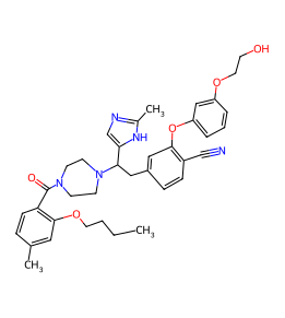 CCCCOc1cc(C)ccc1C(=O)N1CCN(C(Cc2ccc(C#N)c(Oc3cccc(OCCO)c3)c2)c2cnc(C)[nH]2)CC1